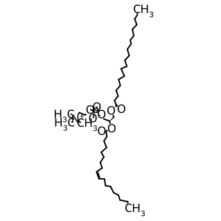 CCCCCCCC/C=C\CCCCCCCC(=O)O[C@H](COC(=O)CCCCCCCCCCCCCCCCCCC)COP(=O)([O-])OCC[N+](C)(C)C